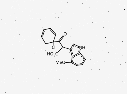 COc1cccc2[nH]cc(C(C(=O)O)C(=O)C3(Cl)C=CC=CC3)c12